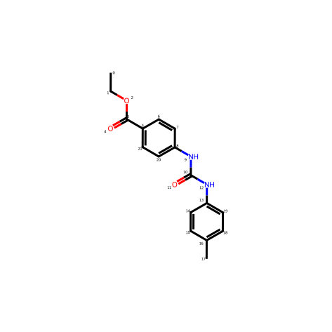 CCOC(=O)c1ccc(NC(=O)Nc2ccc(C)cc2)cc1